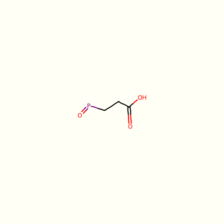 O=PCCC(=O)O